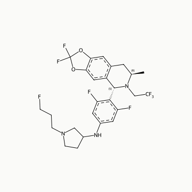 C[C@@H]1Cc2cc3c(cc2[C@@H](c2c(F)cc(NC4CCN(CCCF)C4)cc2F)N1CC(F)(F)F)OC(F)(F)O3